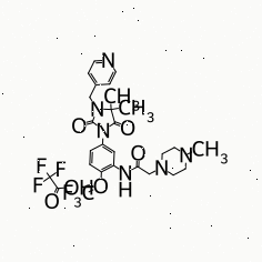 CN1CCN(CC(=O)Nc2cc(N3C(=O)N(Cc4ccncc4)C(C)(C)C3=O)ccc2OC(F)(F)F)CC1.O=C(O)C(F)(F)F